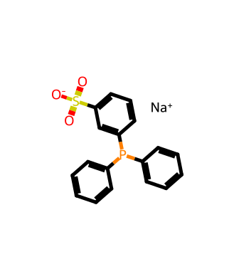 O=S(=O)([O-])c1cccc(P(c2ccccc2)c2ccccc2)c1.[Na+]